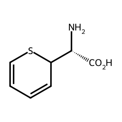 N[C@H](C(=O)O)C1C=CC=CS1